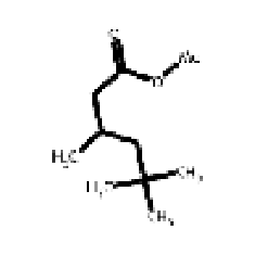 CC(CC(=O)[O][Mo])CC(C)(C)C